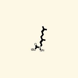 CCCN(C/C=C(\C)CCC=C(C)C)C(=O)C(C)(C)C